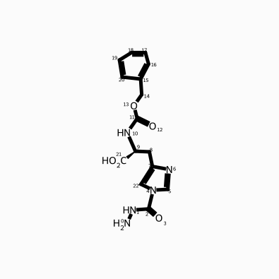 NNC(=O)n1cnc(C[C@H](NC(=O)OCc2ccccc2)C(=O)O)c1